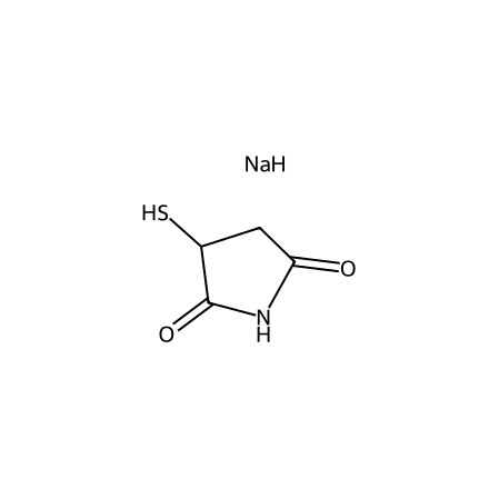 O=C1CC(S)C(=O)N1.[NaH]